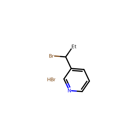 Br.CCC(Br)c1cccnc1